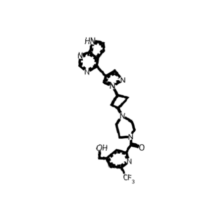 O=C(c1cc(CO)cc(C(F)(F)F)n1)N1CCN(C2CC(n3cc(-c4ncnc5[nH]ccc45)cn3)C2)CC1